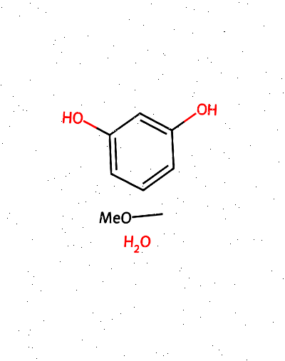 COC.O.Oc1cccc(O)c1